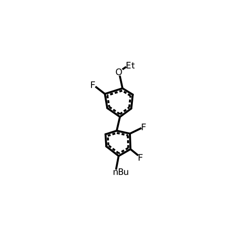 CCCCc1ccc(-c2ccc(OCC)c(F)c2)c(F)c1F